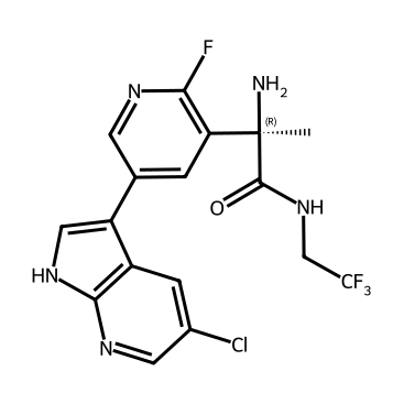 C[C@](N)(C(=O)NCC(F)(F)F)c1cc(-c2c[nH]c3ncc(Cl)cc23)cnc1F